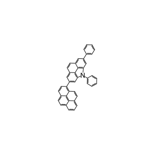 c1ccc(-c2cc3ccc4cc(-c5ccc6ccc7cccc8ccc5c6c78)cc5c4c3c(c2)n5-c2ccccc2)cc1